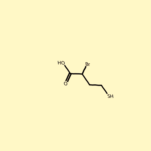 O=C(O)C(Br)CCS